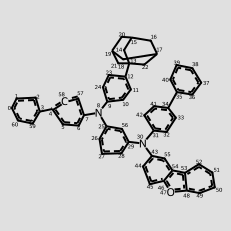 c1ccc(-c2ccc(N(c3ccc(C45CC6CC(CC(C6)C4)C5)cc3)c3cccc(N(c4ccc(-c5ccccc5)cc4)c4ccc5oc6ccccc6c5c4)c3)cc2)cc1